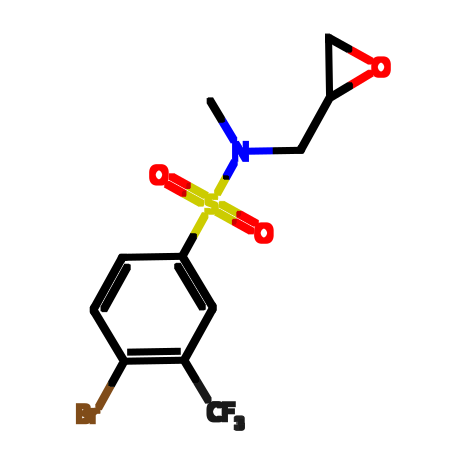 CN(CC1CO1)S(=O)(=O)c1ccc(Br)c(C(F)(F)F)c1